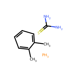 Cc1ccccc1C.NC(N)=S.P